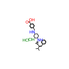 CC(C)C(=Cc1ccccc1)C1C[C@@H]1NC1CCC(NCc2ccc(C(=O)O)cc2)CC1.Cl.Cl